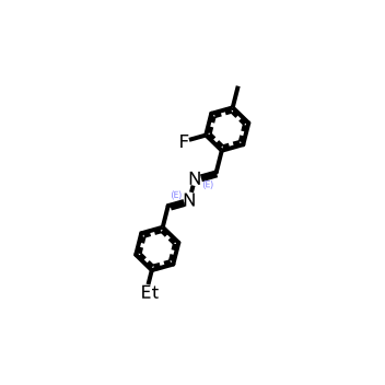 CCc1ccc(/C=N/N=C/c2ccc(C)cc2F)cc1